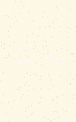 Cn1c(N)cc2[nH]c(N)cc21